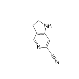 N#Cc1cc2c(cn1)CCN2